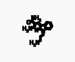 NCCCn1c2ccccc2c2cc(C(N)=O)c(N)nc21